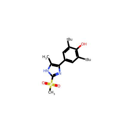 Cc1[nH]c(S(C)(=O)=O)nc1-c1cc(C(C)(C)C)c(O)c(C(C)(C)C)c1